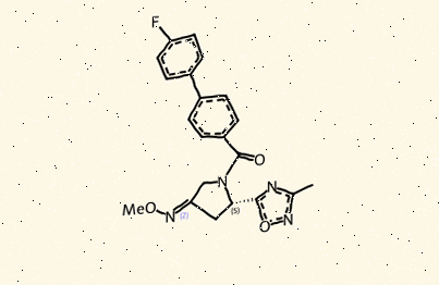 CO/N=C1/C[C@@H](c2nc(C)no2)N(C(=O)c2ccc(-c3ccc(F)cc3)cc2)C1